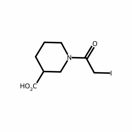 O=C(O)C1CCCN(C(=O)CI)C1